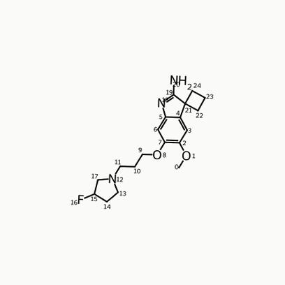 COc1cc2c(cc1OCCCN1CCC(F)C1)N=C(N)C21CCC1